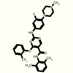 Cc1cccc(C)c1NC(=O)c1cnc(Nc2ccc(N3CCN(C)CC3)c(F)c2)nc1Oc1ccccc1C(F)(F)F